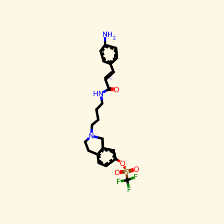 Nc1ccc(/C=C/C(=O)NCCCCN2CCc3ccc(OS(=O)(=O)C(F)(F)F)cc3C2)cc1